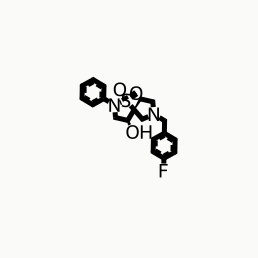 O=S1(=O)N(c2ccccc2)C[C@H](O)[C@]12CCN(Cc1ccc(F)cc1)C2